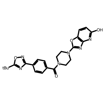 CC(C)(C)c1nc(-c2ccc(C(=O)N3CCN(c4nc5nc(O)ccc5o4)CC3)cc2)no1